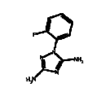 Nc1nc(N)n(-c2ccccc2F)n1